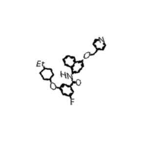 CCC1CCC(Oc2cc(F)cc(C(=O)Nc3ccc(OCc4ccncc4)c4ccccc34)c2)CC1